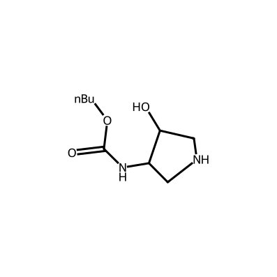 CCCCOC(=O)NC1CNCC1O